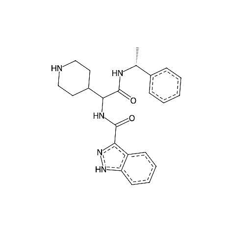 C[C@@H](NC(=O)C(NC(=O)c1n[nH]c2ccccc12)C1CCNCC1)c1ccccc1